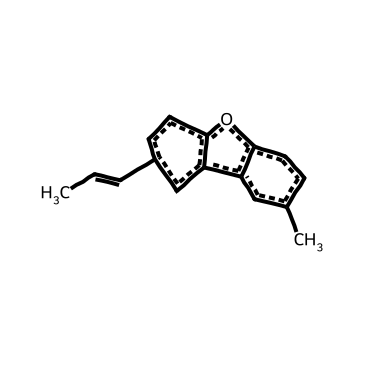 C/C=C/c1ccc2oc3ccc(C)cc3c2c1